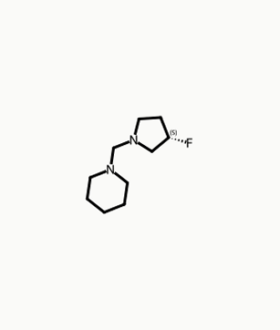 F[C@H]1CCN(CN2CCCCC2)C1